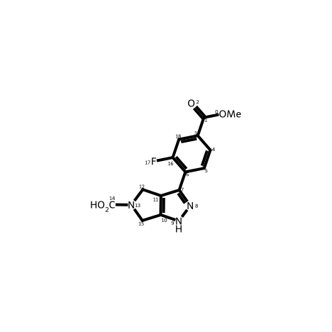 COC(=O)c1ccc(-c2n[nH]c3c2CN(C(=O)O)C3)c(F)c1